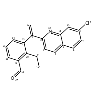 C=C(c1ccc2ccc(Cl)cc2n1)c1cccc(C=O)c1CC